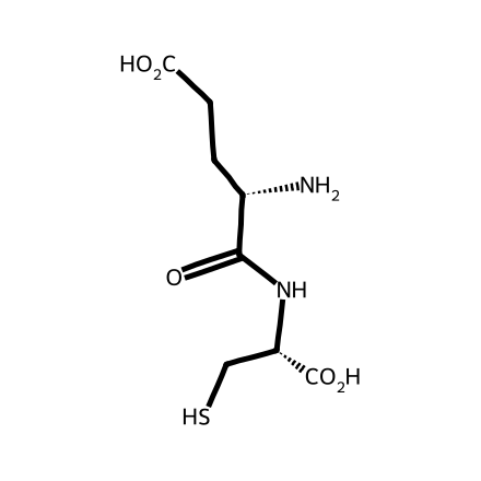 N[C@@H](CCC(=O)O)C(=O)N[C@@H](CS)C(=O)O